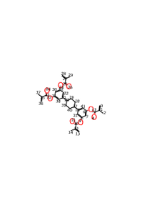 C=C(C)C(=O)Oc1cc(OC(=O)C(=C)C)cc(C2CCC(c3cc(OC(=O)C(=C)C)cc(OC(=O)C(=C)C)c3)CC2)c1